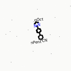 CCCCCCCCc1cnc(-c2ccc(C3CCC(C#N)(CCCCC)CC3)cc2)nc1